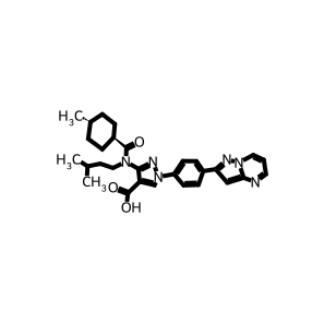 CC(C)CCN(c1nn(-c2ccc(-c3cc4ncccn4n3)cc2)cc1C(=O)O)C(=O)[C@H]1CC[C@H](C)CC1